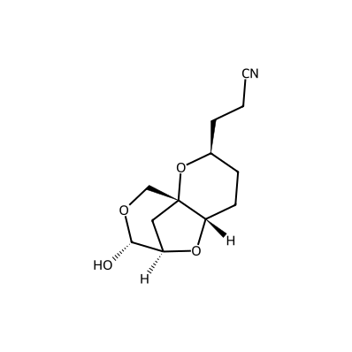 N#CCC[C@H]1CC[C@@H]2O[C@@H]3C[C@]2(CO[C@H]3O)O1